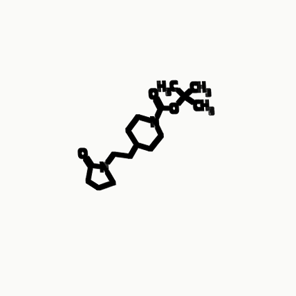 CC(C)(C)OC(=O)N1CCC(CCN2CCCC2=O)CC1